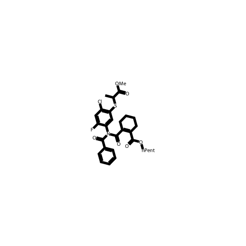 CCCCCOC(=O)C1=C(C(=O)N(C(=O)c2ccccc2)c2cc(SC(C)C(=O)OC)c(Cl)cc2F)CCCC1